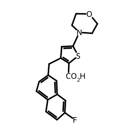 O=C(O)c1sc(N2CCOCC2)cc1Cc1ccc2ccc(F)cc2c1